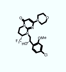 COc1cc(Cl)ccc1[C@H](O)CN1c2nc(N3CCOCC3)cc(=O)n2CC[C@H]1C(F)(F)F